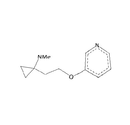 CNC1(CCOc2cccnc2)CC1